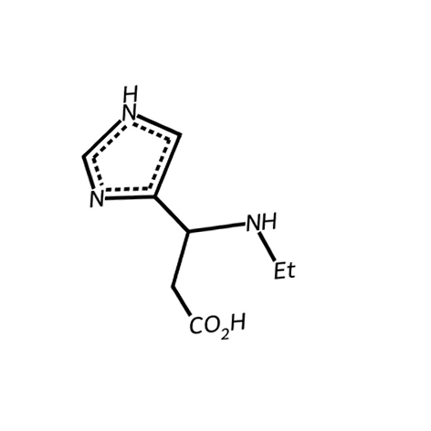 CCNC(CC(=O)O)c1c[nH]cn1